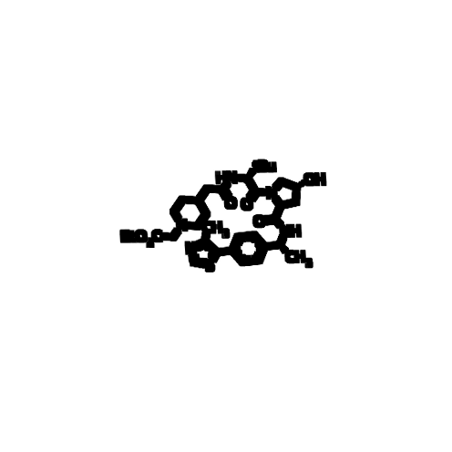 CCOC(=O)CN1CCC(CC(=O)N[C@H](C(=O)N2C[C@H](O)CC2C(=O)N[C@@H](C)c2ccc(-c3scnc3C)cc2)C(C)(C)C)CC1